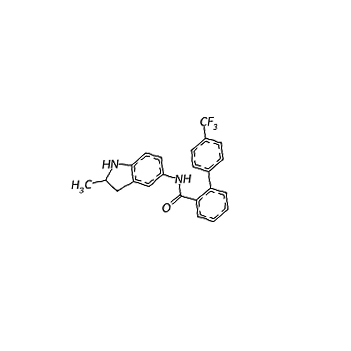 CC1Cc2cc(NC(=O)c3ccccc3-c3ccc(C(F)(F)F)cc3)ccc2N1